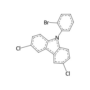 Clc1ccc2c(c1)c1cc(Cl)ccc1n2-c1ccccc1Br